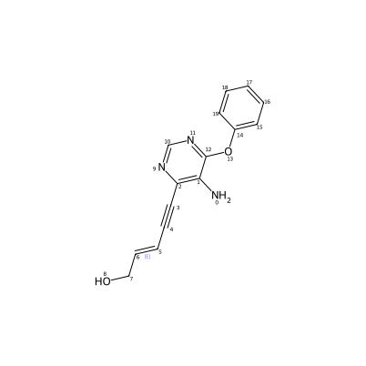 Nc1c(C#C/C=C/CO)ncnc1Oc1ccccc1